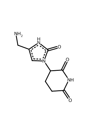 NCc1cn(C2CCC(=O)NC2=O)c(=O)[nH]1